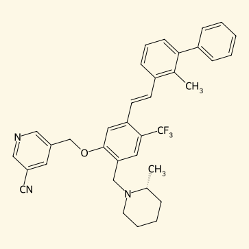 Cc1c(/C=C/c2cc(OCc3cncc(C#N)c3)c(CN3CCCC[C@H]3C)cc2C(F)(F)F)cccc1-c1ccccc1